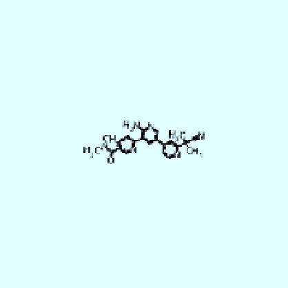 CN(C)C(=O)c1ccc(-c2cc(-c3ccnc(C(C)(C)C#N)c3)cnc2N)nc1